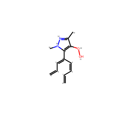 C=C/C=C\C(=C/C=C)c1c(OO)c(C)nn1C